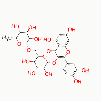 CC1O[C@@H](OCC2O[C@H](Oc3c(-c4ccc(O)c(O)c4)oc4cc(O)cc(O)c4c3=O)C(O)[C@H](O)[C@H]2O)C(O)[C@H](O)[C@H]1O